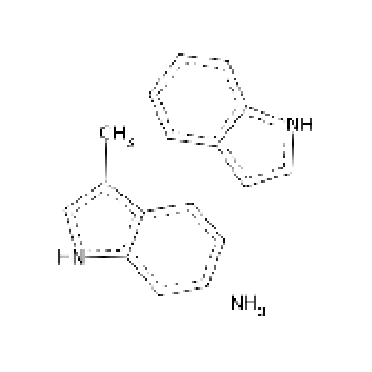 Cc1c[nH]c2ccccc12.N.c1ccc2[nH]ccc2c1